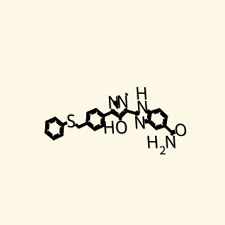 Cn1nc(-c2ccc(CSc3ccccc3)cc2)c(O)c1-c1nc2cc(C(N)=O)ccc2[nH]1